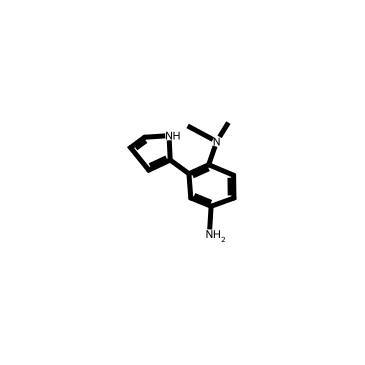 CN(C)c1ccc(N)cc1-c1ccc[nH]1